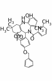 Cc1cccc(C(=O)N2c3c(C)ccc(O)c3NC3=C(C2c2ccc(OCc4ccccc4)cc2F)S(=O)(=O)CC(C)(C)C3)n1